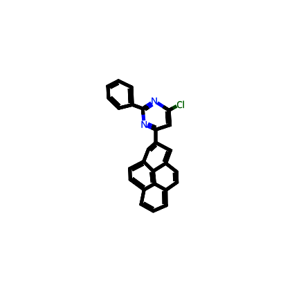 Clc1cc(-c2cc3ccc4cccc5ccc(c2)c3c45)nc(-c2ccccc2)n1